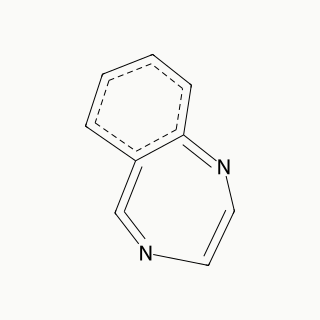 C1=NC=CN=c2ccccc2=1